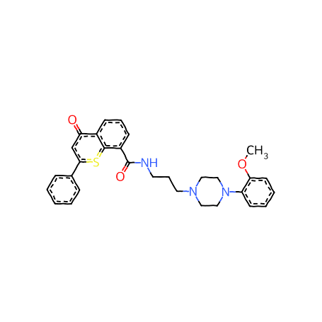 COc1ccccc1N1CCN(CCCNC(=O)c2cccc3c(=O)cc(-c4ccccc4)sc23)CC1